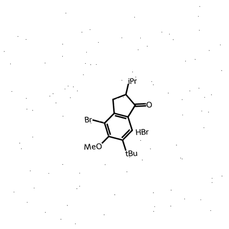 Br.COc1c(C(C)(C)C)cc2c(c1Br)CC(C(C)C)C2=O